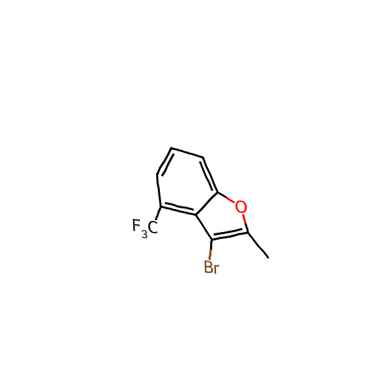 Cc1oc2cccc(C(F)(F)F)c2c1Br